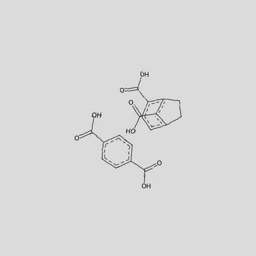 O=C(O)c1ccc(C(=O)O)cc1.O=C(O)c1ccc2c(C(=O)O)c1CC2